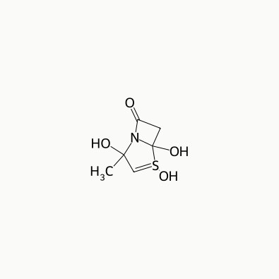 CC1(O)C=S(O)C2(O)CC(=O)N12